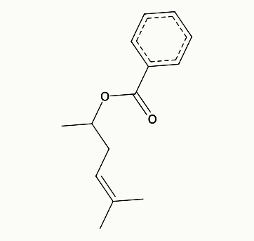 CC(C)=CCC(C)OC(=O)c1ccccc1